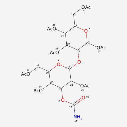 CC(=O)OCC1OC(OC(C)=O)C(OC2OC(COC(C)=O)C(OC(C)=O)C(OC(N)=O)C2OC(C)=O)C(OC(C)=O)C1OC(C)=O